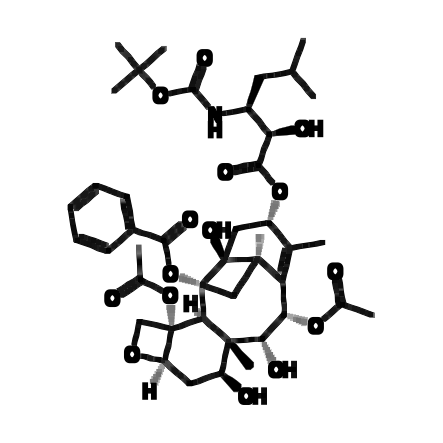 CC(=O)O[C@H]1C2=C(C)[C@@H](OC(=O)[C@H](O)[C@H](CC(C)C)NC(=O)OC(C)(C)C)C[C@]3(O)[C@]2(C)C[C@@]3(OC(=O)c2ccccc2)[C@@H]2[C@]3(OC(C)=O)CO[C@@H]3C[C@H](O)[C@@]2(C)[C@H]1O